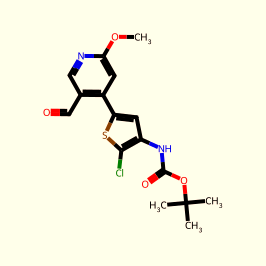 COc1cc(-c2cc(NC(=O)OC(C)(C)C)c(Cl)s2)c(C=O)cn1